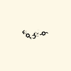 CCc1ccc(C(=O)Nc2ncc3c(n2)CCN(C(=O)c2ccc(-n4cccn4)cc2)C3)cc1